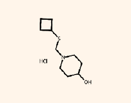 Cl.OC1CCN(CSC2CCC2)CC1